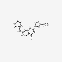 CCOC(=O)c1cnn(-c2nc3cc(Oc4ccccc4)ccc3c(=O)[nH]2)c1